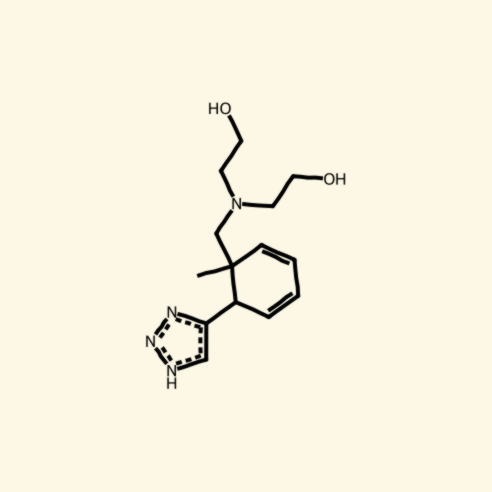 CC1(CN(CCO)CCO)C=CC=CC1c1c[nH]nn1